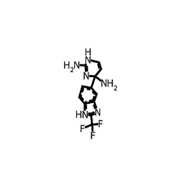 NC1=NC(N)(c2ccc3[nH]c(C(F)(F)F)nc3c2)C=CN1